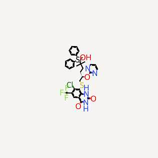 CC(C)(CC[C@@H](CSc1c(Cl)c(C(F)(F)F)cc2c(=O)[nH]c(=O)[nH]c12)Oc1ncccn1)[Si](O)(c1ccccc1)c1ccccc1